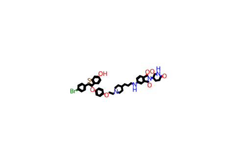 O=C1CCC(N2C(=O)c3ccc(NCCCC4CCN(CCOc5ccc(Oc6c(-c7ccc(Br)cc7)sc7cc(O)ccc67)cc5)CC4)cc3C2=O)C(=O)N1